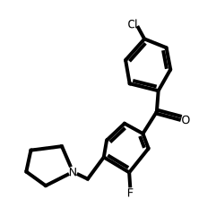 O=C(c1ccc(Cl)cc1)c1ccc(CN2CCCC2)c(F)c1